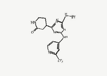 CC(C)Nc1nc(Nc2ccnc(C(F)(F)F)c2)nc(C2CCNC(=O)C2)n1